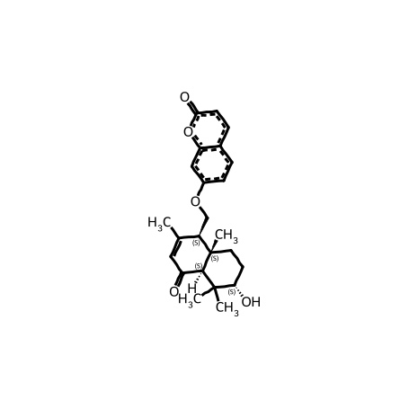 CC1=CC(=O)[C@@H]2C(C)(C)[C@@H](O)CC[C@@]2(C)[C@@H]1COc1ccc2ccc(=O)oc2c1